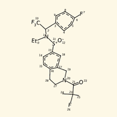 CCN(C(c1ccc(F)cc1)C(F)(F)F)[S+]([O-])c1ccc2c(c1)CN(C(=O)C(C)(C)F)CC2